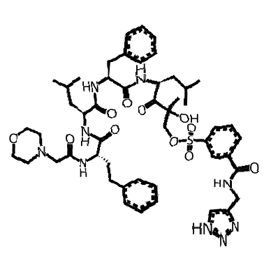 CC(C)C[C@H](NC(=O)[C@H](CCc1ccccc1)NC(=O)CN1CCOCC1)C(=O)N[C@@H](Cc1ccccc1)C(=O)N[C@@H](CC(C)C)C(=O)C(C)(O)COS(=O)(=O)c1cccc(C(=O)NCc2c[nH]nn2)c1